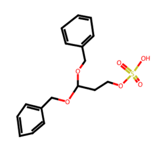 O=S(=O)(O)OCCC(OCc1ccccc1)OCc1ccccc1